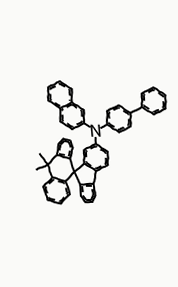 CC1(C)c2ccccc2C2(c3ccccc3-c3ccc(N(c4ccc(-c5ccccc5)cc4)c4ccc5ccccc5c4)cc32)c2ccccc21